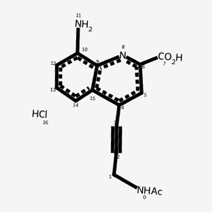 CC(=O)NCC#Cc1cc(C(=O)O)nc2c(N)cccc12.Cl